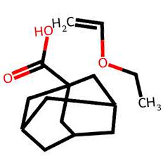 C=COCC.O=C(O)C12CC3CC(CC(C3)C1)C2